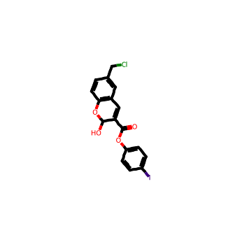 O=C(Oc1ccc(I)cc1)C1=Cc2cc(CCl)ccc2OC1O